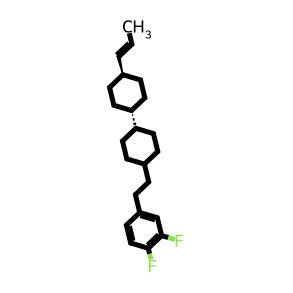 C/C=C/[C@H]1CC[C@H](C2CCC(CCc3ccc(F)c(F)c3)CC2)CC1